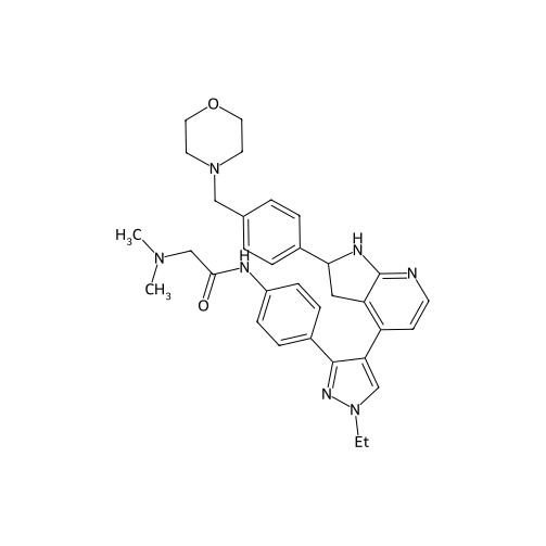 CCn1cc(-c2ccnc3c2CC(c2ccc(CN4CCOCC4)cc2)N3)c(-c2ccc(NC(=O)CN(C)C)cc2)n1